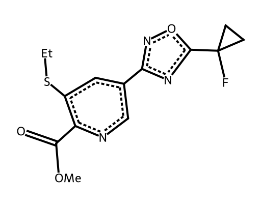 CCSc1cc(-c2noc(C3(F)CC3)n2)cnc1C(=O)OC